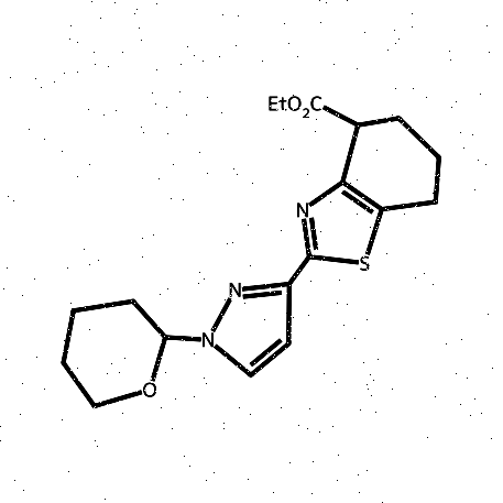 CCOC(=O)C1CCCc2sc(-c3ccn(C4CCCCO4)n3)nc21